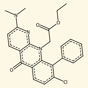 CCOC(=O)Cn1c2nc(N(C)C)ccc2c(=O)c2ccc(Cl)c(-c3ccccc3)c21